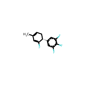 CC1=CC[C@H](c2cc(F)c(F)c(F)c2)C(F)=C1